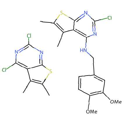 COc1ccc(CNc2nc(Cl)nc3sc(C)c(C)c23)cc1OC.Cc1sc2nc(Cl)nc(Cl)c2c1C